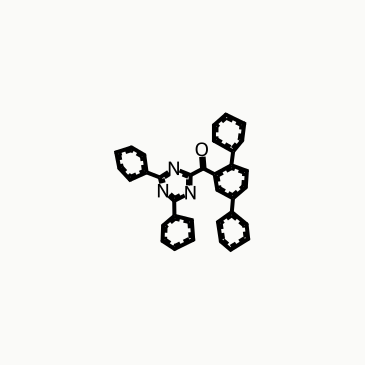 O=C(c1nc(-c2ccccc2)nc(-c2ccccc2)n1)c1cc(-c2ccccc2)ccc1-c1ccccc1